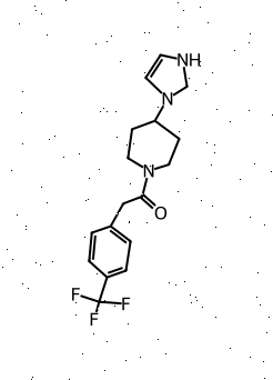 O=C(Cc1ccc(C(F)(F)F)cc1)N1CCC(N2C=CNC2)CC1